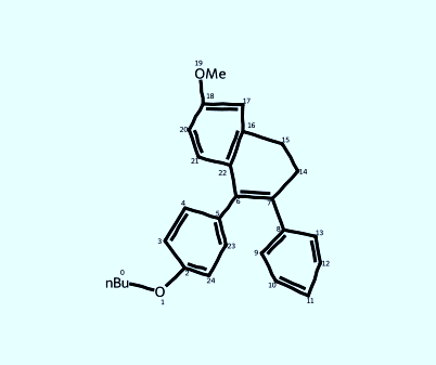 CCCCOc1ccc(C2=C(c3ccccc3)CCc3cc(OC)ccc32)cc1